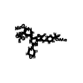 COc1ncc(-c2nc(N3CCOCC3)nc3c(CN4CCC(C(C)(C)OC)CC4)c(C)sc23)cc1NS(C)(=O)=O